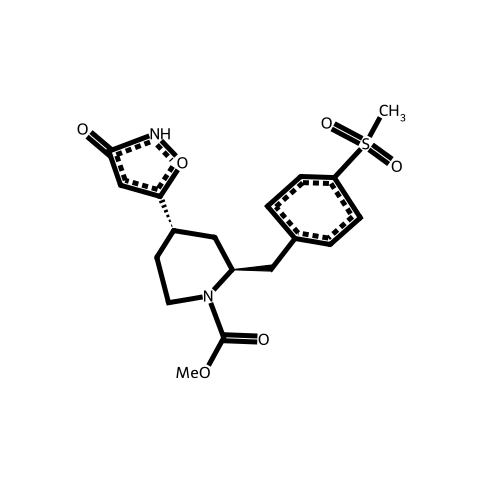 COC(=O)N1CC[C@H](c2cc(=O)[nH]o2)C[C@H]1Cc1ccc(S(C)(=O)=O)cc1